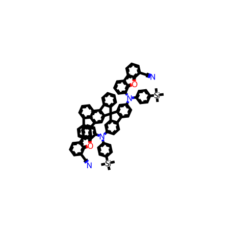 C[Si](C)(C)c1ccc(N(c2ccc3c(c2)C2(c4cc(N(c5ccc([Si](C)(C)C)cc5)c5cccc6c5oc5c(C#N)cccc56)ccc4-3)c3ccccc3-c3c2cc2c4c(cccc34)-c3ccccc3-2)c2cccc3c2oc2c(C#N)cccc23)cc1